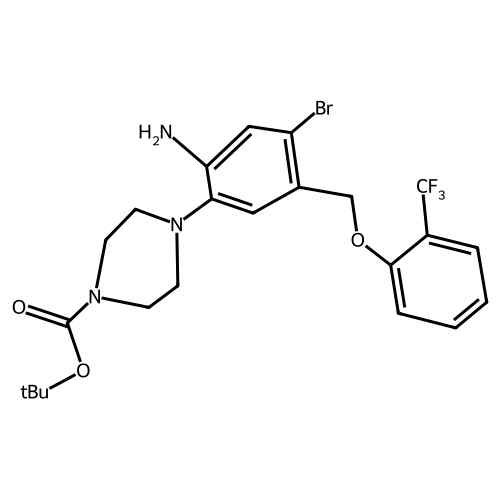 CC(C)(C)OC(=O)N1CCN(c2cc(COc3ccccc3C(F)(F)F)c(Br)cc2N)CC1